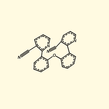 N#Cc1cccnc1-c1ccccc1Oc1ccccc1-c1ncccc1C#N